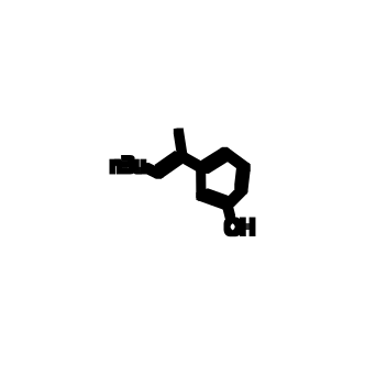 CCCCC=C(C)c1cccc(O)c1